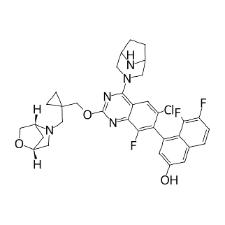 Oc1cc(-c2c(Cl)cc3c(N4CC5CCC(C4)N5)nc(OCC4(CN5C[C@H]6C[C@@H]5CO6)CC4)nc3c2F)c2c(F)c(F)ccc2c1